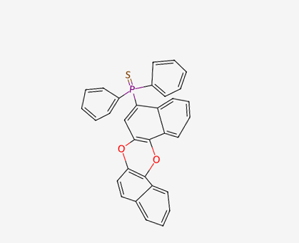 S=P(c1ccccc1)(c1ccccc1)c1cc2c(c3ccccc13)Oc1c(ccc3ccccc13)O2